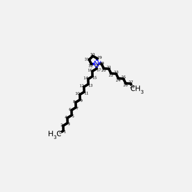 CCCCCCCCCCCCCCCCCC[N+]1(CCCCCCCCCC)CCCC1